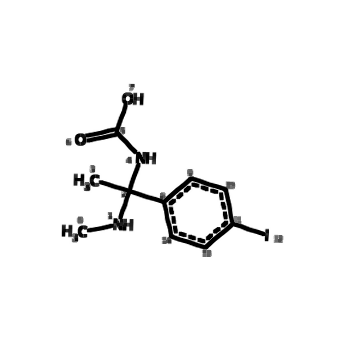 CNC(C)(NC(=O)O)c1ccc(I)cc1